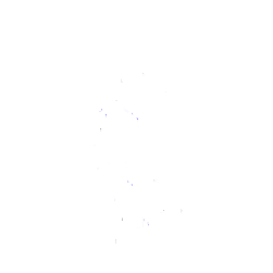 CCOC(=O)Cc1nc2ccc(N3CC(C)N(C)C(C)C3)cc2[nH]1